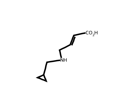 O=C(O)/C=C/CNCC1CC1